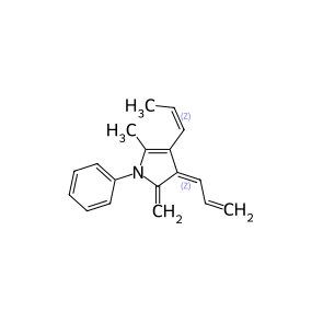 C=C/C=c1/c(/C=C\C)c(C)n(-c2ccccc2)c1=C